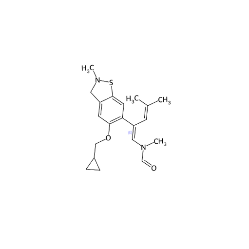 CC(C)=C/C(=C\N(C)C=O)c1cc2c(cc1OCC1CC1)CN(C)S2